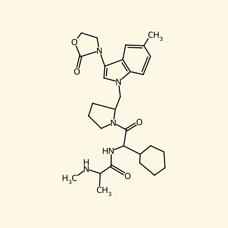 CNC(C)C(=O)NC(C(=O)N1CCCC1Cn1cc(N2CCOC2=O)c2cc(C)ccc21)C1CCCCC1